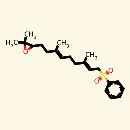 C/C(=C\CS(=O)(=O)c1ccccc1)CC/C=C(\C)CCC1OC1(C)C